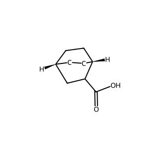 O=C(O)C1C[C@H]2CC[C@@H]1CC2